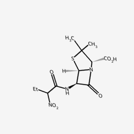 CCC(C(=O)N[C@@H]1C(=O)N2[C@@H]1SC(C)(C)[C@@H]2C(=O)O)[N+](=O)[O-]